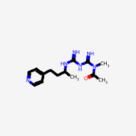 CC(=O)N(C)C(=N)NC(=N)NC(C)CCc1ccncc1